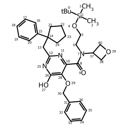 CC(C)(C)[Si](C)(C)OCCN(C(=O)c1nc(CC2(c3ccccc3)CCCC2)nc(O)c1OCc1ccccc1)C1COC1